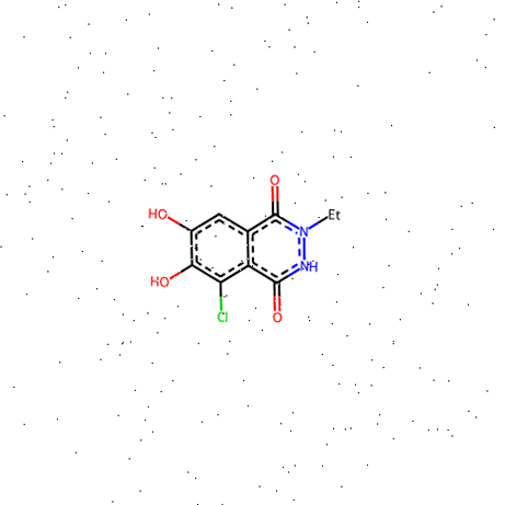 CCn1[nH]c(=O)c2c(Cl)c(O)c(O)cc2c1=O